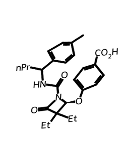 CCCC(NC(=O)N1C(=O)C(CC)(CC)[C@@H]1Oc1ccc(C(=O)O)cc1)c1ccc(C)cc1